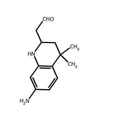 CC1(C)CC(CC=O)Nc2cc(N)ccc21